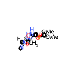 COc1cc(CS(=O)(=O)c2ccc3c(c2)/C(=C/c2[nH]c(C)c(C(=O)N4CCC[C@@H]4CN4CCCC4)c2C)C(=O)N3)cc(OC)c1